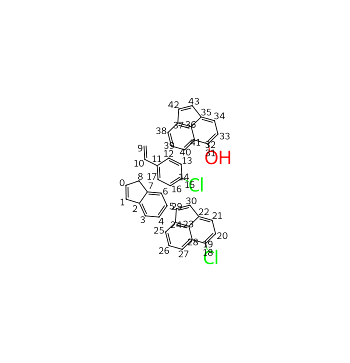 C1=Cc2ccccc2C1.C=Cc1ccc(Cl)cc1.Clc1ccc2c3c(cccc13)C=C2.Oc1ccc2c3c(cccc13)C=C2